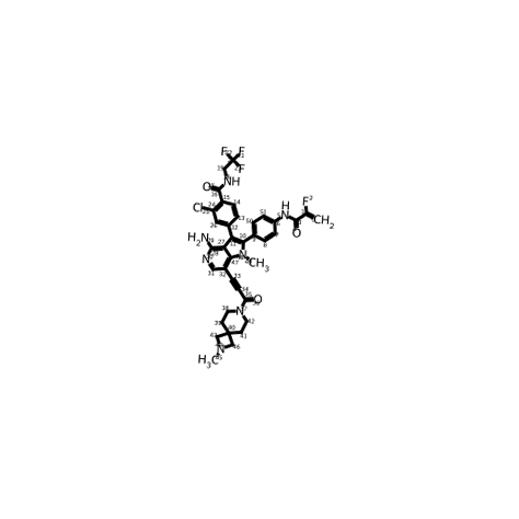 C=C(F)C(=O)Nc1ccc(-c2c(-c3ccc(C(=O)NCC(F)(F)F)c(Cl)c3)c3c(N)ncc(C#CC(=O)N4CCC5(CC4)CN(C)C5)c3n2C)cc1